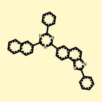 c1ccc(-c2nc(-c3ccc4ccccc4c3)nc(-c3ccc4c(ccc5nc(-c6ccccc6)sc54)c3)n2)cc1